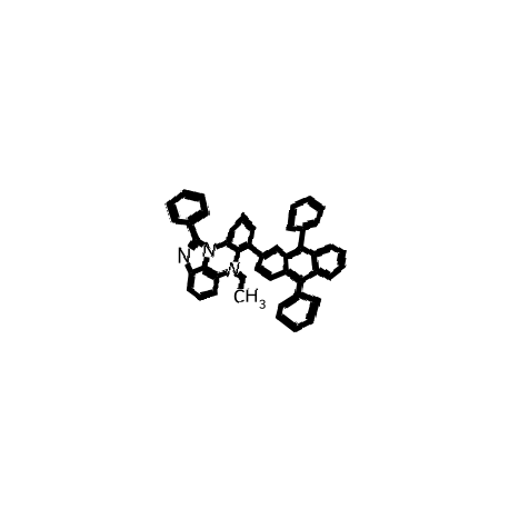 CCN1c2c(-c3ccc4c(-c5ccccc5)c5ccccc5c(-c5ccccc5)c4c3)cccc2-n2c(-c3ccccc3)nc3cccc1c32